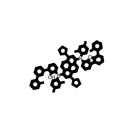 Cc1ccc(N(c2cccc(-c3cccc(-c4ccccc4C)c3)c2O)c2cc(C3CCCC3)c3ccc4c(N(c5ccc(C)cc5C)c5cccc6c5oc5c(-c7ccccc7C)cccc56)cc(C5CCCC5)c5ccc2c3c54)c(C)c1